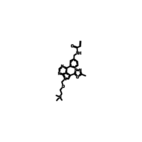 C=CC(=O)NCc1cccc(-c2ncnc3c2c(-c2nnc(C)o2)cn3COCC[Si](C)(C)C)c1